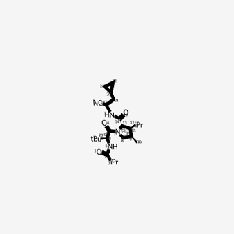 CC(C)C(=O)N[C@H](C(=O)N1C[C@H](C)[C@H](C(C)C)[C@H]1C(=O)NC(C#N)CC1CC1)C(C)(C)C